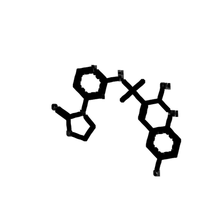 CC(C)(Nc1nccc(N2CCOC2=O)n1)C1=Cc2cc(Cl)ccc2NC1O